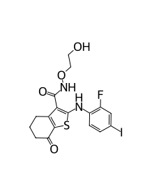 O=C1CCCc2c1sc(Nc1ccc(I)cc1F)c2C(=O)NOCCO